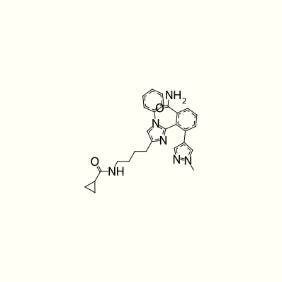 Cn1cc(-c2cccc(C(N)=O)c2-c2nc(CCCCNC(=O)C3CC3)cn2-c2ccccc2)cn1